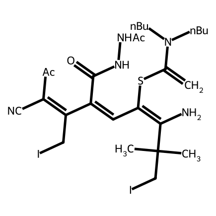 C=C(SC(/C=C(C(=O)NNC(C)=O)/C(CI)=C(/C#N)C(C)=O)=C(\N)C(C)(C)CI)N(CCCC)CCCC